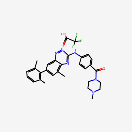 Cc1cccc(C)c1-c1cc(C)c2nc(Nc3ccc(C(=O)N4CCN(C)CC4)cc3)nnc2c1.O=C(O)C(F)(F)F